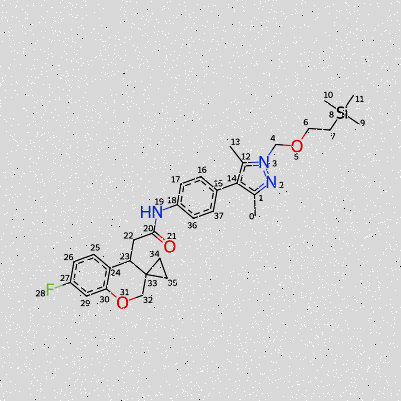 Cc1nn(COCC[Si](C)(C)C)c(C)c1-c1ccc(NC(=O)CC2c3ccc(F)cc3OCC23CC3)cc1